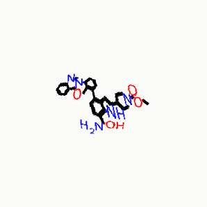 CCOC(=O)N1CC=C(c2cc3c(-c4cccc(-n5cnc6ccccc6c5=O)c4C)ccc(C(N)O)c3[nH]2)CC1